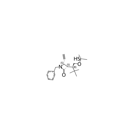 C#C[C@@H]1[C@H]([C@@H](CO[SiH](C)C)C(C)(C)C)C(=O)N1Cc1ccccc1